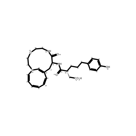 O=C(O)C[C@@H](CCCc1ccc(O)cc1)C(=O)NC1Cc2ccccccn(c2)CCOCCNC1=O